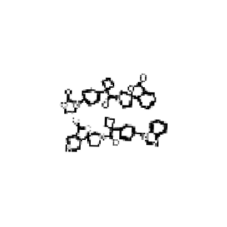 O=C1OC2(CCN(C(=O)C3(c4ccc(-n5cnc6ccccc65)cc4)CCC3)C2)c2ccncc21.O=C1OC2(CCN(C(=O)C3(c4ccc(N5CCOC5=O)cc4)CCC3)C2)c2ccccc21